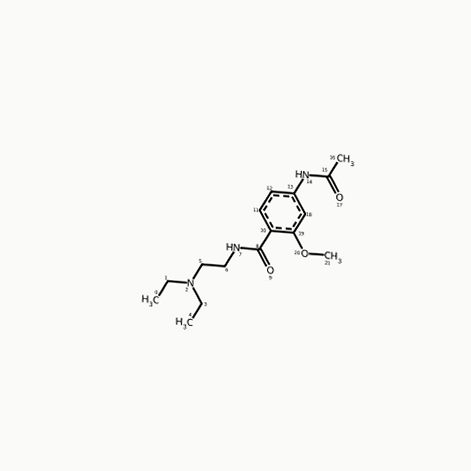 CCN(CC)CCNC(=O)c1ccc(NC(C)=O)cc1OC